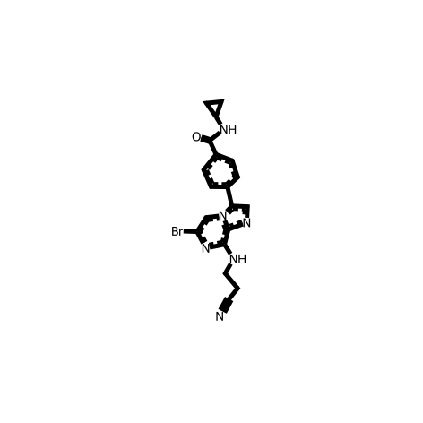 N#CCCNc1nc(Br)cn2c(-c3ccc(C(=O)NC4CC4)cc3)cnc12